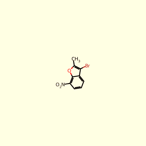 Cc1oc2c([N+](=O)[O-])cccc2c1Br